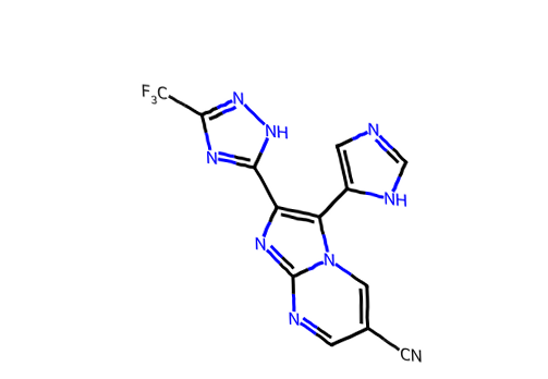 N#Cc1cnc2nc(-c3nc(C(F)(F)F)n[nH]3)c(-c3cnc[nH]3)n2c1